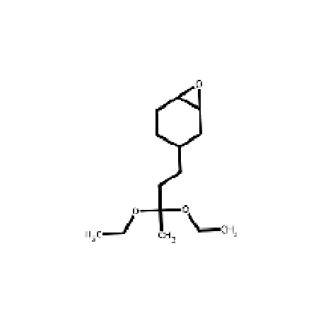 CCOC(C)(CCC1CCC2OC2C1)OCC